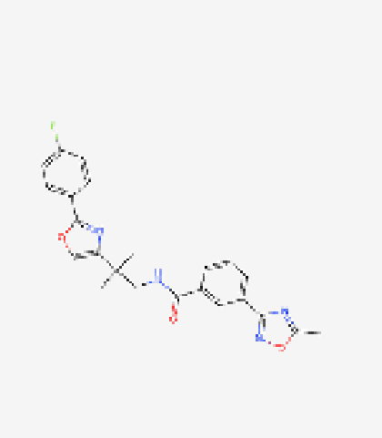 Cc1nc(-c2cccc(C(=O)NCC(C)(C)c3coc(-c4ccc(F)cc4)n3)c2)no1